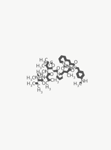 CC[C@H](C)[C@@H]([C@@H](CC(=O)N1CCC[C@H]1[C@H](OC)[C@@H](C)C(=O)NC(Cc1ccccn1)C(=O)NCc1ccc(NC)cc1)OC)N(C)C(=O)[C@@H](NC(=O)[C@H](C(C)C)N(C)C)C(C)C